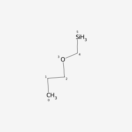 CCCOC[SiH3]